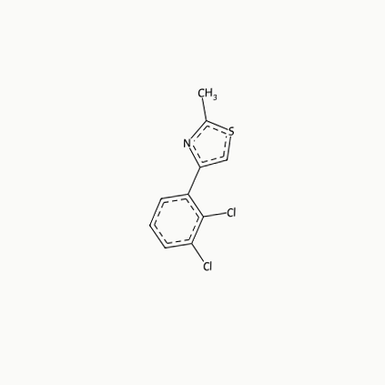 Cc1nc(-c2cccc(Cl)c2Cl)cs1